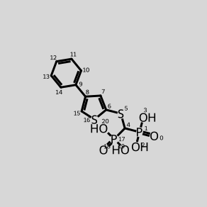 O=P(O)(O)C(Sc1cc(-c2ccccc2)cs1)P(=O)(O)O